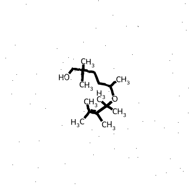 CC(C)=C(C)C(C)(C)OC(C)CCC(C)(C)CO